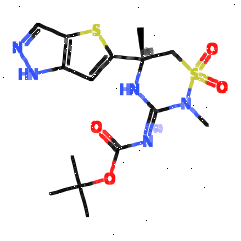 CN1/C(=N/C(=O)OC(C)(C)C)N[C@](C)(c2cc3[nH]ncc3s2)CS1(=O)=O